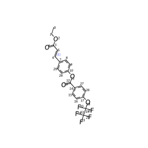 CCOC(=O)/C=C/c1ccc(OC(=O)c2ccc(OC(F)(F)C(F)(F)F)cc2)cc1